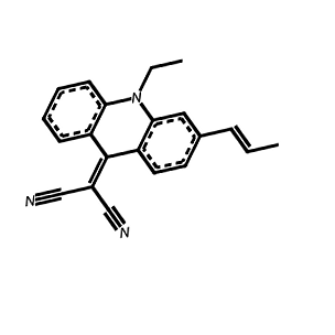 C/C=C/c1ccc2c(c1)N(CC)c1ccccc1C2=C(C#N)C#N